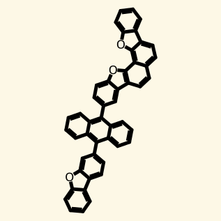 c1ccc2c(c1)oc1cc(-c3c4ccccc4c(-c4ccc5oc6c(ccc7ccc8c9ccccc9oc8c76)c5c4)c4ccccc34)ccc12